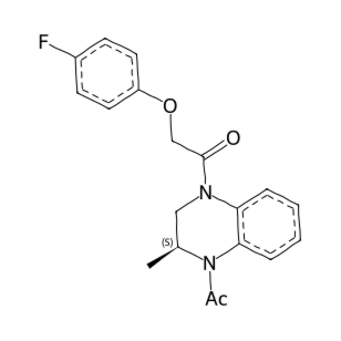 CC(=O)N1c2ccccc2N(C(=O)COc2ccc(F)cc2)C[C@@H]1C